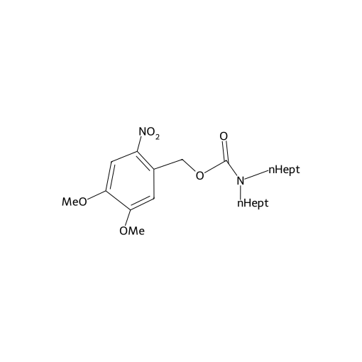 CCCCCCCN(CCCCCCC)C(=O)OCc1cc(OC)c(OC)cc1[N+](=O)[O-]